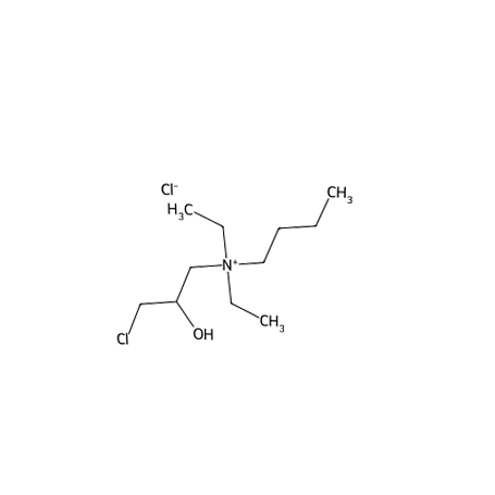 CCCC[N+](CC)(CC)CC(O)CCl.[Cl-]